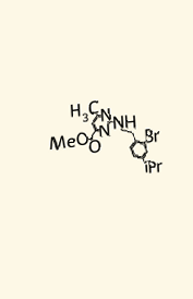 COC(=O)c1cc(C)nc(NCCc2ccc(C(C)C)cc2Br)n1